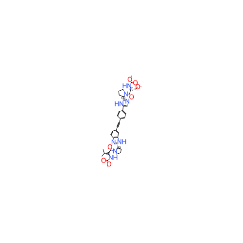 COC[C@H](NC(=O)OC)C(=O)N1CCC[C@H]1c1ncc(-c2ccc(C#Cc3ccc4nc([C@@H]5CCCN5C(=O)[C@@H](NC(=O)OC)C(C)C)[nH]c4c3)cc2)[nH]1